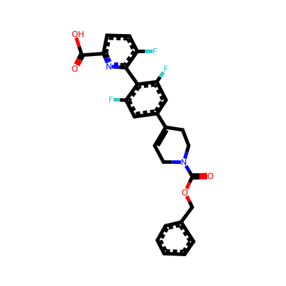 O=C(O)c1ccc(F)c(-c2c(F)cc(C3=CCN(C(=O)OCc4ccccc4)CC3)cc2F)n1